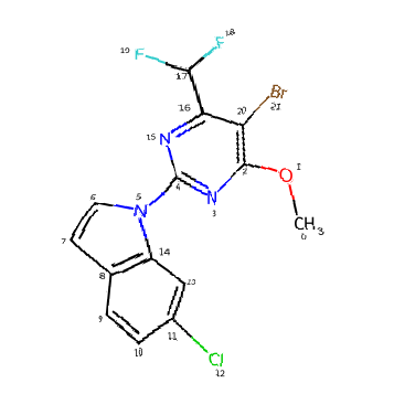 COc1nc(-n2ccc3ccc(Cl)cc32)nc(C(F)F)c1Br